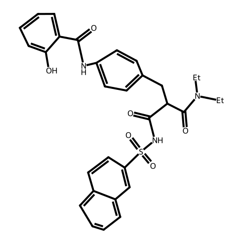 CCN(CC)C(=O)C(Cc1ccc(NC(=O)c2ccccc2O)cc1)C(=O)NS(=O)(=O)c1ccc2ccccc2c1